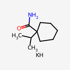 CC(C)C1(C(N)=O)CCCCC1.[KH]